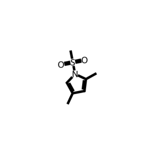 Cc1cc(C)n(S(C)(=O)=O)c1